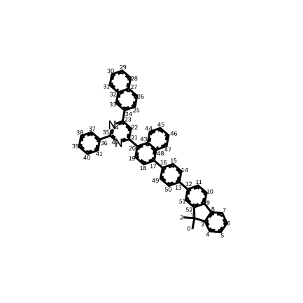 CC1(C)c2ccccc2-c2ccc(-c3ccc(-c4ccc(-c5cc(-c6ccc7ccccc7c6)nc(-c6ccccc6)n5)c5ccccc45)cc3)cc21